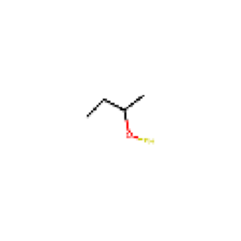 CCC(C)OS